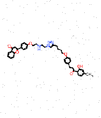 Cc1ccc(C(=O)/C=C/c2ccc(OCCCCc3cn(CCNCCOc4ccc(-c5cc(=O)c6ccccc6o5)cc4)nn3)cc2)c(O)c1